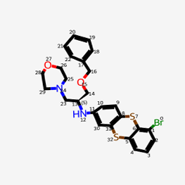 Brc1cccc2c1Sc1ccc(N[C@H](COCc3ccccc3)CN3CCOCC3)cc1S2